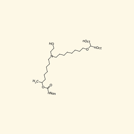 CCCCCCCCCC(=O)OC(C)CCCCCCN(CCO)CCCCCCCCOC(CCCCCCCC)CCCCCCCC